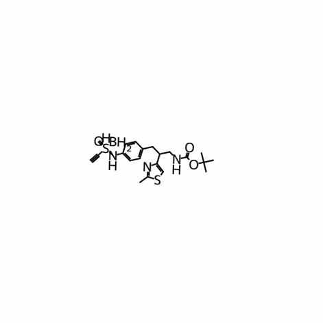 B[SH](=O)(C#C)Nc1ccc(CC(CNC(=O)OC(C)(C)C)c2csc(C)n2)cc1